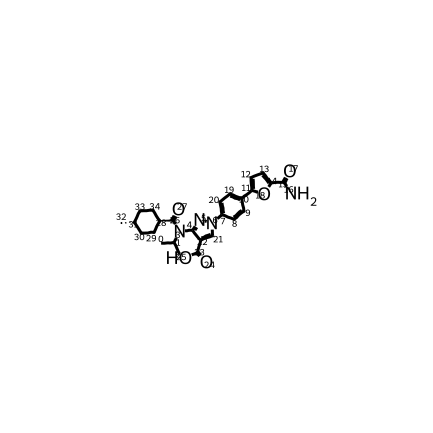 CC(C)N(c1nn(-c2ccc(-c3ccc(C(N)=O)o3)cc2)cc1C(=O)O)C(=O)[C@H]1CC[C@H](C)CC1